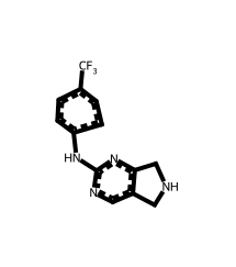 FC(F)(F)c1ccc(Nc2ncc3c(n2)CNC3)cc1